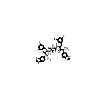 CN(C(=O)C(Cc1cc(F)cc(F)c1)NC(=O)NS(=O)(=O)N[C@@H](Cc1cc(F)cc(F)c1)C(=O)N(C)c1ccc2scnc2c1)c1ccc2scnc2c1